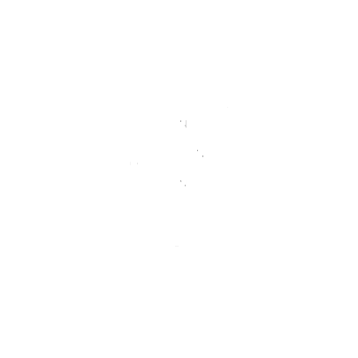 O=C(O)c1cnc(C2CC2)nc1N1CCCC(F)(F)CC1